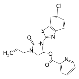 C=CCN1CC(OC(=O)c2ccccn2)N(c2nc3ccc(Cl)cc3s2)C1=O